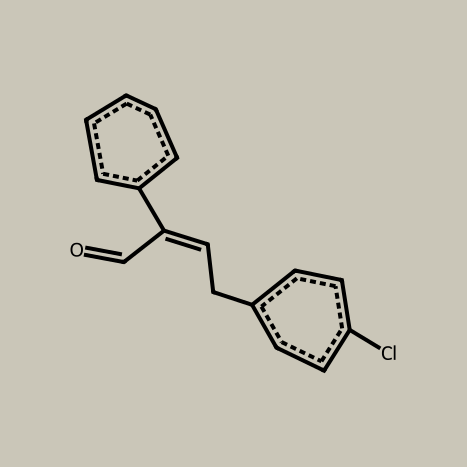 O=CC(=CCc1ccc(Cl)cc1)c1ccccc1